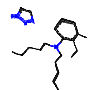 CCCCCN(CCCCC)c1cccc(C)c1CC.c1c[nH]nn1